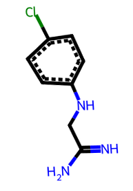 N=C(N)CNc1ccc(Cl)cc1